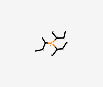 CCC(C)P(C(C)CC)C(C)CC